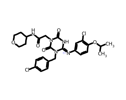 CC(C)Oc1ccc(/N=c2\[nH]c(=O)n(CC(=O)NC3CCOCC3)c(=O)n2Cc2ccc(Cl)cc2)cc1Cl